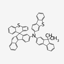 CC1(C)c2ccccc2-c2ccc(N(c3ccc4c(c3)C3(c5ccccc5Sc5ccccc53)c3ccc5ccccc5c3-4)c3ccc4c(c3)sc3ccccc34)cc21